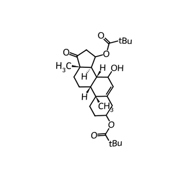 CC(C)(C)C(=O)OC1CC[C@@]2(C)C(=CC(O)[C@@H]3[C@H]2CC[C@]2(C)C(=O)CC(OC(=O)C(C)(C)C)[C@@H]32)C1